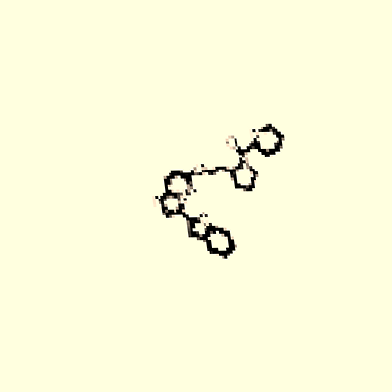 O=C(c1ccccn1)N1CCCC1CCOc1ccc2ncc(-c3cc4ccccc4o3)n2n1